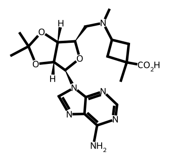 CN(C[C@H]1O[C@@H](n2cnc3c(N)ncnc32)[C@@H]2OC(C)(C)O[C@@H]21)C1CC(C)(C(=O)O)C1